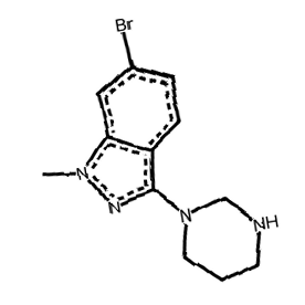 Cn1nc(N2CCCNC2)c2ccc(Br)cc21